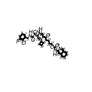 CN(C(=O)NCc1cccc(F)c1Cl)[C@H]1CN(C2CCC2)C(C(=O)CCCCOC(=O)Nc2cc3ccccc3cn2)CN1